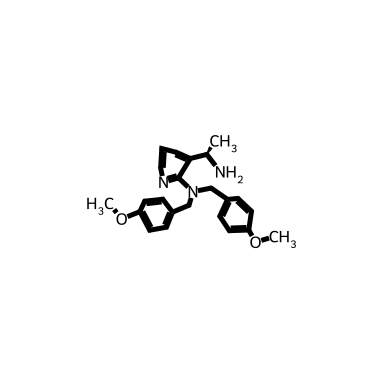 COc1ccc(CN(Cc2ccc(OC)cc2)c2ncccc2[C@@H](C)N)cc1